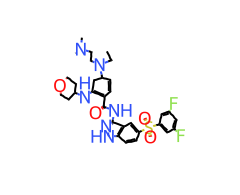 CCN(CCN(C)C)C1C=CC(C(=O)Nc2n[nH]c3ccc(S(=O)(=O)c4cc(F)cc(F)c4)cc23)=C(NC2CCOCC2)C1